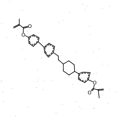 C=C(C)C(=O)Oc1ccc(-c2ccc(CCC3CCC(c4ccc(OC(=O)C(=C)C)cc4)CC3)cc2)cc1